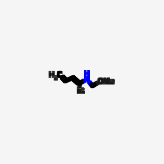 C=C/C=C(\CC)NCOC